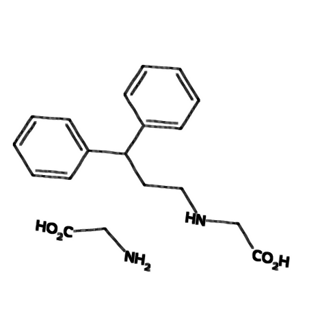 NCC(=O)O.O=C(O)CNCCC(c1ccccc1)c1ccccc1